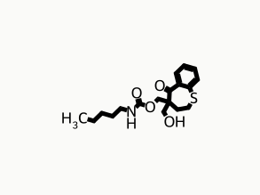 CCCCCNC(=O)OCC1(CO)CCSc2ccccc2C1=O